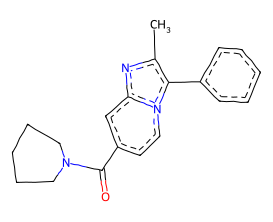 Cc1nc2cc(C(=O)N3CCCCC3)ccn2c1-c1ccccc1